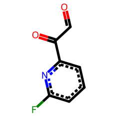 O=CC(=O)c1cccc(F)n1